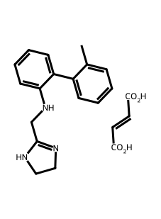 Cc1ccccc1-c1ccccc1NCC1=NCCN1.O=C(O)C=CC(=O)O